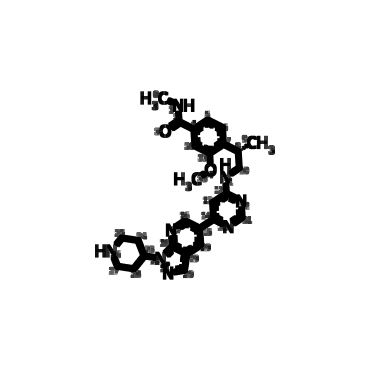 CNC(=O)c1ccc([C@H](C)CNc2cc(-c3cnc4c(cnn4C4CCNCC4)c3)ncn2)c(OC)c1